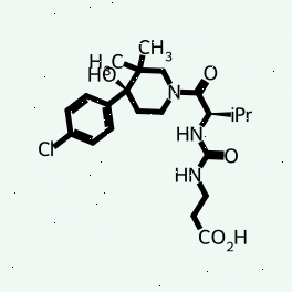 CC(C)[C@@H](NC(=O)NCCC(=O)O)C(=O)N1CC[C@](O)(c2ccc(Cl)cc2)C(C)(C)C1